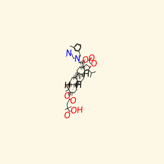 CC(=O)O[C@H](CN(CCN(C)C)Cc1cccc(C)c1)[C@@]12CC[C@]3(C)[C@H](CC[C@@H]4[C@@]5(C)CC[C@H](OC(=O)CC(C)(C)C(=O)O)C(C)(C)[C@@H]5CC[C@]43C)C1=C(C(C)C)C(=O)C2